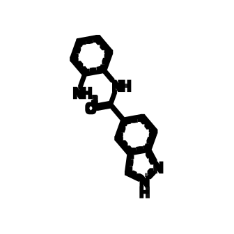 Nc1ccccc1NC(=O)c1ccc2n[nH]cc2c1